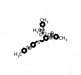 Cc1ccc(SOc2ccc(CS/C=C/c3ccc(OS(=O)(=O)c4ccc(C)cc4)c(OC(=O)N(C)Sc4ccc(C)cc4)c3)cc2)cc1